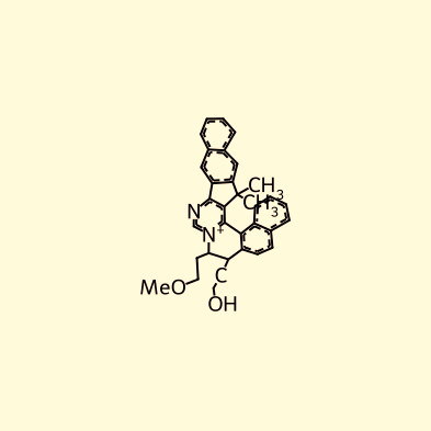 COCCC1C(CCO)c2ccc3ccccc3c2-c2c3c(nc[n+]21)-c1cc2ccccc2cc1C3(C)C